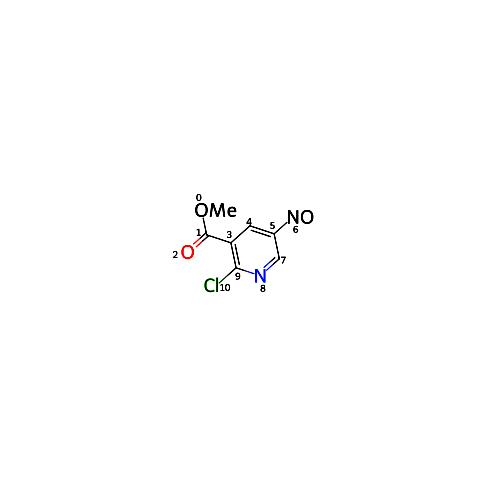 COC(=O)c1cc(N=O)cnc1Cl